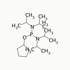 CC(C)N(C(C)C)P(OC1CCCC1)N(C(C)C)C(C)C